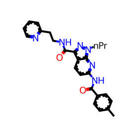 CCCn1nc(C(=O)NCCc2ccccn2)c2ccc(NC(=O)c3ccc(C)cc3)nc21